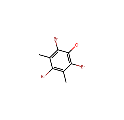 Cc1c(Br)c(C)c(Br)c([O])c1Br